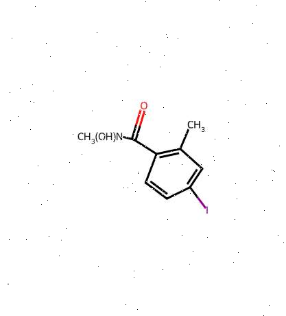 Cc1cc(I)ccc1C(=O)N(C)O